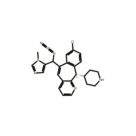 Cn1cncc1C(N=[N+]=[N-])C1=Cc2cccnc2[C@@H](C2CCNCC2)c2ccc(Cl)cc21